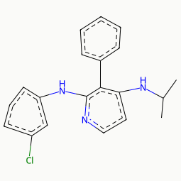 CC(C)Nc1ccnc(Nc2cccc(Cl)c2)c1-c1ccccc1